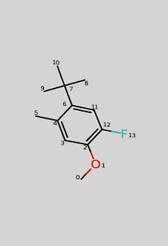 COc1cc(C)c(C(C)(C)C)cc1F